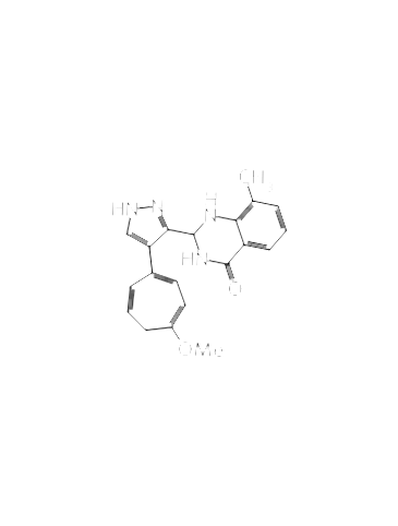 COC1=CC=C(c2c[nH]nc2C2NC(=O)c3cccc(C)c3N2)C=CC1